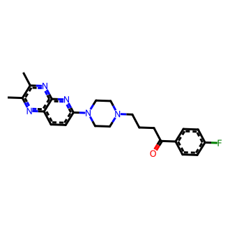 Cc1nc2ccc(N3CCN(CCCC(=O)c4ccc(F)cc4)CC3)nc2nc1C